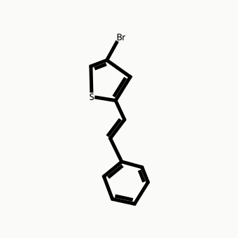 Brc1csc(C=Cc2ccccc2)c1